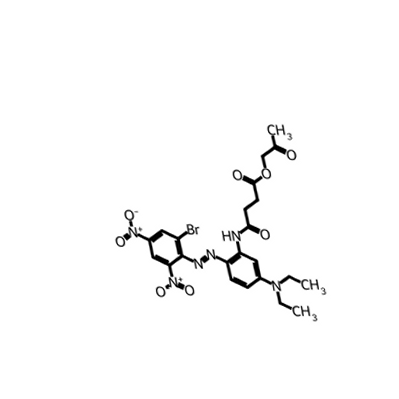 CCN(CC)c1ccc(N=Nc2c(Br)cc([N+](=O)[O-])cc2[N+](=O)[O-])c(NC(=O)CCC(=O)OCC(C)=O)c1